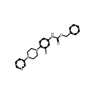 O=C(Nc1ccc(N2CCN(c3cccnc3)CC2)c(F)c1)OCc1ccccc1